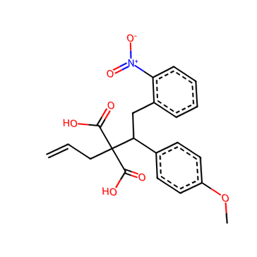 C=CCC(C(=O)O)(C(=O)O)C(Cc1ccccc1[N+](=O)[O-])c1ccc(OC)cc1